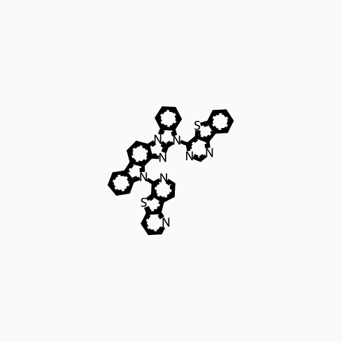 c1ccc2c(c1)sc1c(-n3c4ccccc4n4c5ccc6c7ccccc7n(-c7nccc8c7sc7cccnc78)c6c5nc34)ncnc12